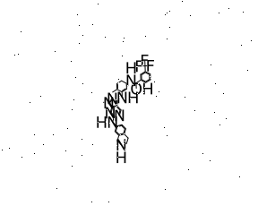 CC1=CCC(NC(O)c2cccc(C(F)(F)F)c2)C=C1Nc1nn(C)c2nc(Nc3ccc4c(c3)CNCC4)ncc12